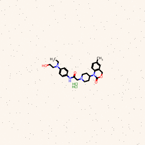 CCN(CCO)c1ccc(NC(=O)CN2CCC(N3C(=O)OCc4cc(C)ccc43)CC2)cc1.Cl.Cl